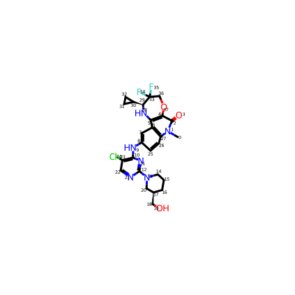 Cn1c(=O)c2c(c3cc(Nc4nc(N5CCC[C@@H](CO)C5)ncc4Cl)ccc31)N[C@@H](C1CC1)C(F)(F)CO2